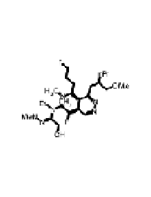 C=N/C(CCCF)=c1/c(CC(CCC)COC)nnc/c1=C(\F)C(=C)N(CC)/C(CO)=N\NC